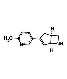 Cc1ccc(C2=C[C@@H]3NC[C@@H]3C2)cn1